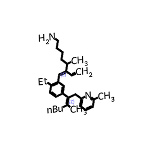 C=C/C(=C\c1cc(/C(Cc2cccc(C)n2)=C(/C)CCCC)ccc1CC)C(C)CCCCN